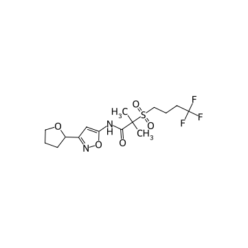 CC(C)(C(=O)Nc1cc(C2CCCO2)no1)S(=O)(=O)CCCC(F)(F)F